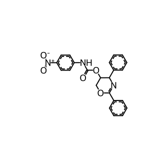 O=C(Nc1ccc([N+](=O)[O-])cc1)OC1COC(c2ccccc2)=NC1c1ccccc1